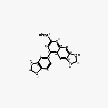 CCCCCc1nc(-c2ccc3c(c2)OCO3)c2cc3c(cc2n1)OCO3